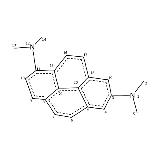 CN(C)c1cc2ccc3ccc(N(C)C)c4ccc(c1)c2c34